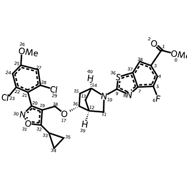 COC(=O)c1cc(F)c2nc(N3C[C@@H]4C[C@H]3C[C@H]4OCc3c(-c4c(Cl)cc(OC)cc4Cl)noc3C3CC3)sc2c1